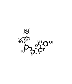 Cc1nc(C)c(-c2ncn(Cc3cc(O)cc(Cc4onc(C)c4Cc4ncn(Cc5cccc(O)c5)c4CC(N)=O)c3)c2CC(C)O)s1